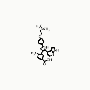 Cc1ccc(C(=O)O)cc1-c1nc(-c2ccc(OCCN(C)C)cc2)[nH]c1-c1ccnc2[nH]ccc12